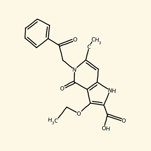 CCOc1c(C(=O)O)[nH]c2cc(CC)n(CC(=O)c3ccccc3)c(=O)c12